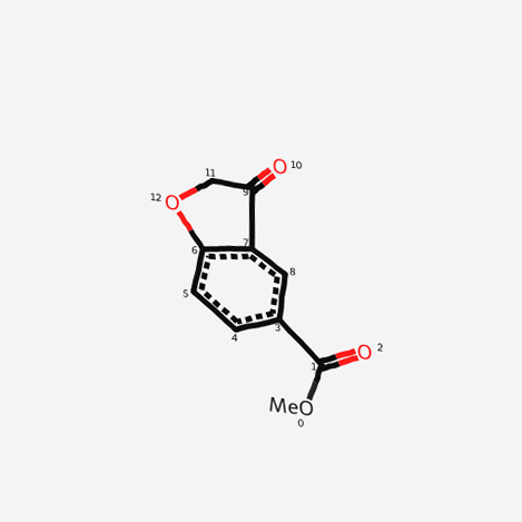 COC(=O)c1ccc2c(c1)C(=O)CO2